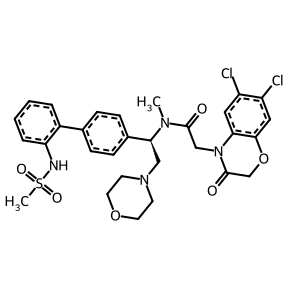 CN(C(=O)CN1C(=O)COc2cc(Cl)c(Cl)cc21)[C@@H](CN1CCOCC1)c1ccc(-c2ccccc2NS(C)(=O)=O)cc1